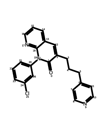 O=c1c(CCCc2ccncc2)cc2cccnc2n1-c1cccc(Cl)c1